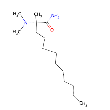 CCCCCCCCCCC(C)(C(N)=O)N(C)C